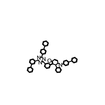 C1=CC2C(c3ccccc3N2c2ccc(-c3ccccc3)cc2)c2c1oc1c(-c3nc(-c4ccc(-c5ccccc5)cc4)nc(-c4cccc(-c5ccccc5)c4)n3)cccc21